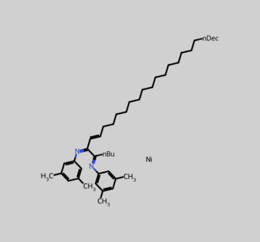 CCCCCCCCCCCCCCCCCCCCCCCCCC=CC(=Nc1cc(C)cc(C)c1)C(CCCC)=Nc1cc(C)cc(C)c1.[Ni]